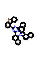 c1ccc(-c2nc(-c3ccc4ccccc4c3-n3c4ccccc4c4c5ccccc5ccc43)nc(-c3cccc4sc5ccccc5c34)n2)cc1